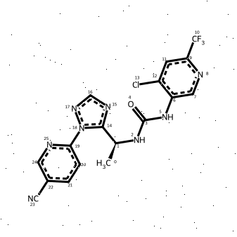 C[C@H](NC(=O)Nc1cnc(C(F)(F)F)cc1Cl)c1ncnn1-c1ccc(C#N)cn1